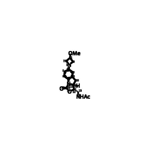 COC1CN(c2ccc3c(c2)C[C@H]2[C@H](CNC(C)=O)OC(=O)N32)C1